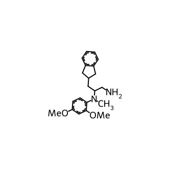 COc1ccc(N(C)C(CN)CC2Cc3ccccc3C2)c(OC)c1